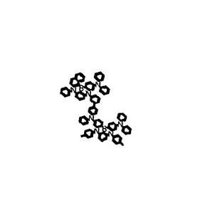 Cc1ccc(N2c3cc(N(c4ccccc4)c4ccccc4)ccc3B3c4ccc(N(c5ccccc5)c5ccc(-c6cccc(N7c8cc(N(c9ccccc9)c9ccccc9)ccc8B8c9c7cccc9N(c7ccccc7)c7ccc9ccccc9c78)c6)cc5)cc4N(c4ccc(C)cc4)c4cccc2c43)cc1